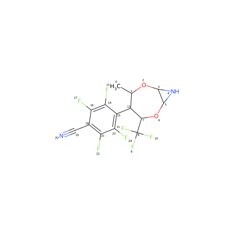 CC1OC2NC2OC(C(F)(F)F)C1c1c(F)c(F)c(C#N)c(F)c1F